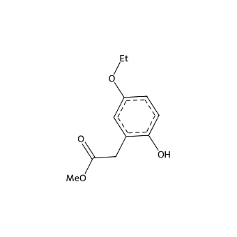 CCOc1ccc(O)c(CC(=O)OC)c1